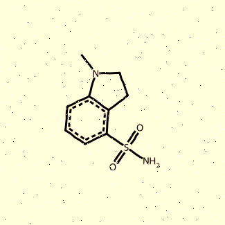 CN1CCc2c1cccc2S(N)(=O)=O